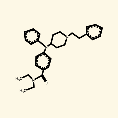 CCN(CC)C(=O)c1ccc(N(c2ccccc2)C2CCN(CCc3ccccc3)CC2)cc1